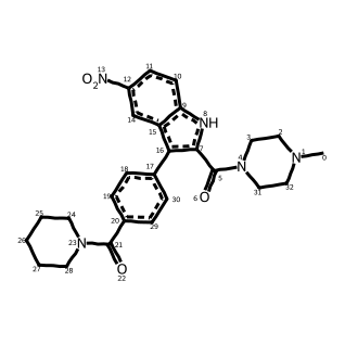 CN1CCN(C(=O)c2[nH]c3ccc([N+](=O)[O-])cc3c2-c2ccc(C(=O)N3CCCCC3)cc2)CC1